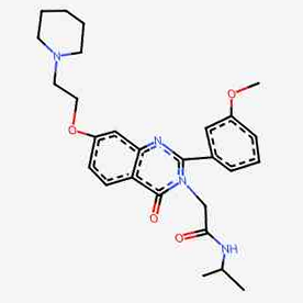 COc1cccc(-c2nc3cc(OCCN4CCCCC4)ccc3c(=O)n2CC(=O)NC(C)C)c1